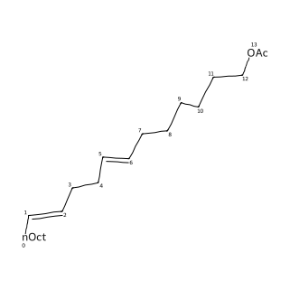 CCCCCCCCC=CCCC=CCCCCCCOC(C)=O